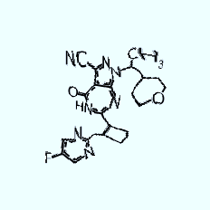 CC(C1CCOCC1)n1nc(C#N)c2c(=O)[nH]c(C3CCC3c3ncc(F)cn3)nc21